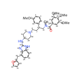 COc1cccc(C(CCN2CCC(Nc3nc4c(Cc5ccco5)cccc4[nH]3)CC2)CN(C)C(=O)c2cc(OC)c(OC)c(OC)c2)c1